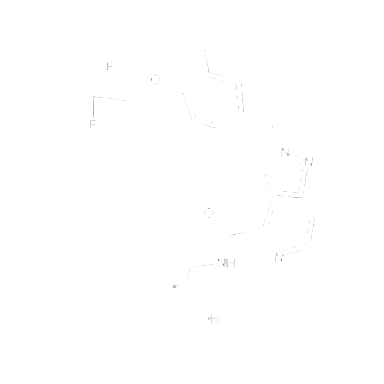 Cc1cc(C(C)n2cc3c(C(=O)NC[C@@H](C)O)nccc3n2)ccc1OCC(C)(F)F